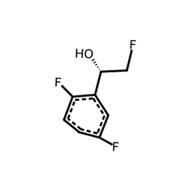 O[C@H](CF)c1cc(F)ccc1F